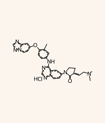 Cc1cc(Nc2ncnc3ccc(N4CC/C(=C\CN(C)C)C4=O)cc23)ccc1Oc1ccn2ncnc2c1.Cl